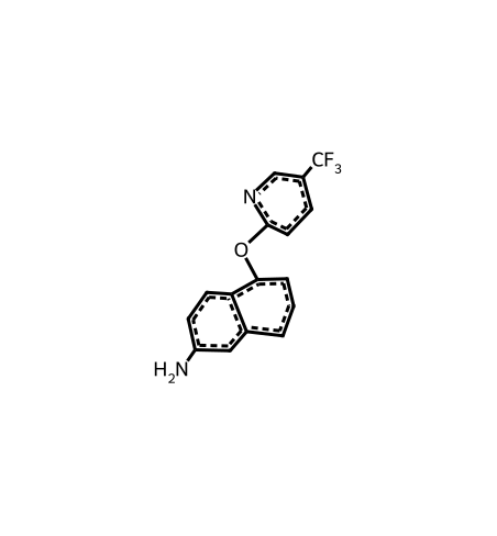 Nc1ccc2c(Oc3ccc(C(F)(F)F)cn3)cccc2c1